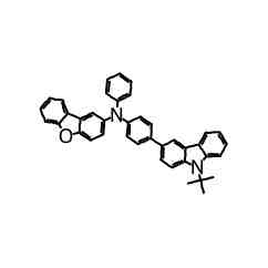 CC(C)(C)n1c2ccccc2c2cc(-c3ccc(N(c4ccccc4)c4ccc5oc6ccccc6c5c4)cc3)ccc21